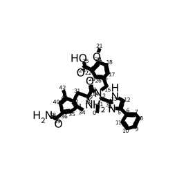 CC[C@@H](c1nc(-c2ccccc2)c[nH]1)N(Cc1ccc(OC)c(C(=O)O)c1)C(=O)[C@@H](N)Cc1c(C)cc(C(N)=O)cc1C